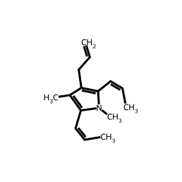 C=CCc1c(C)c(/C=C\C)n(C)c1/C=C\C